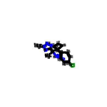 Cn1nnc(C(C)(N)C2(c3ccc(Cl)cc3)CCC2)n1